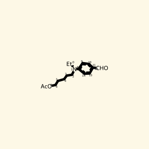 CCN(CCCCCOC(C)=O)c1ccc(C=O)cc1